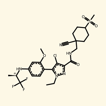 CCn1nc(C(=O)NCC2(C#N)CCC(S(C)(=O)=O)CC2)c(Cl)c1-c1ccc(N[C@H](C)C(F)(F)F)cc1OC